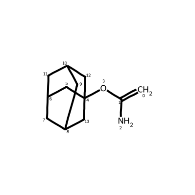 C=C(N)OC12CC3CC(CC(C3)C1)C2